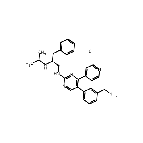 CC(C)N[C@H](CNc1ncc(-c2cccc(CN)c2)c(-c2ccncc2)n1)Cc1ccccc1.Cl